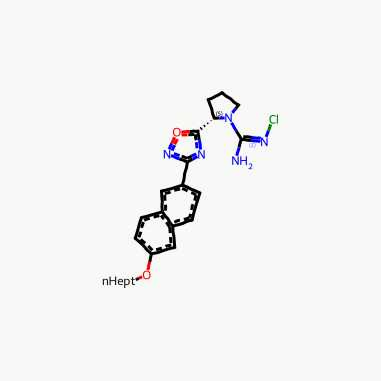 CCCCCCCOc1ccc2cc(-c3noc([C@@H]4CCCN4/C(N)=N\Cl)n3)ccc2c1